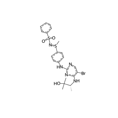 C[C@@H](Nc1nc(Nc2ccc(/S(C)=N/S(=O)(=O)c3ccccc3)cc2)ncc1Br)C(C)(C)O